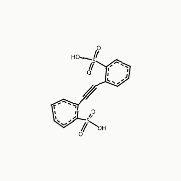 O=S(=O)(O)c1ccccc1C#Cc1ccccc1S(=O)(=O)O